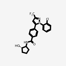 O=C(NC1CCC[C@@H]1O)c1ccc(-c2cc(C(F)(F)F)nn2-c2ccccc2Cl)cc1